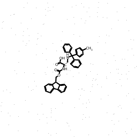 Cc1ccc(C(NC[C@H](NC(=O)OCC2c3ccccc3-c3ccccc32)C(=O)O)(c2ccccc2)c2ccccc2)cc1